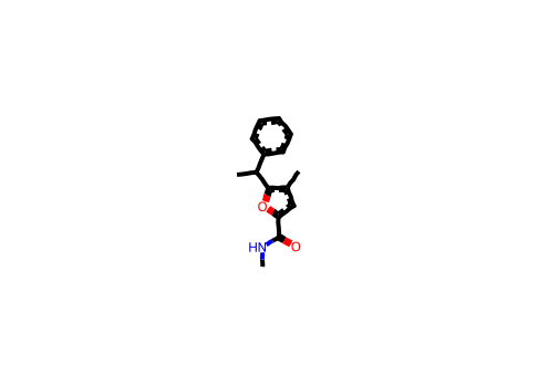 CNC(=O)c1cc(C)c(C(C)c2ccccc2)o1